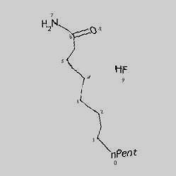 CCCCCCCCCCC(N)=O.F